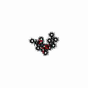 c1ccc(-c2nc(-c3ccccc3)nc(-c3cccc(-c4cccc(-c5ccc(N6c7ccccc7B7c8ccccc8N(c8ccccc8)c8cccc6c87)cc5)c4)c3-n3c4ccccc4c4cc5c6ccccc6n(-c6ccccc6)c5cc43)n2)cc1